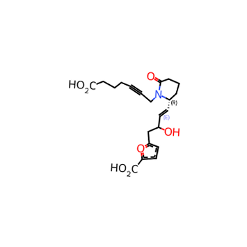 O=C(O)CCCC#CCN1C(=O)CCC[C@@H]1/C=C/C(O)Cc1ccc(C(=O)O)o1